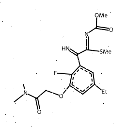 CCc1cc(OCC(=O)N(C)C)c(F)c(C(=N)/C(=N/C(=O)OC)SC)c1